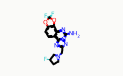 Nc1nc2c3c(ccc2c2nc(CN4CC[C@@H](F)C4)nn12)OC(F)(F)O3